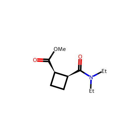 CCN(CC)C(=O)[C@H]1CC[C@H]1C(=O)OC